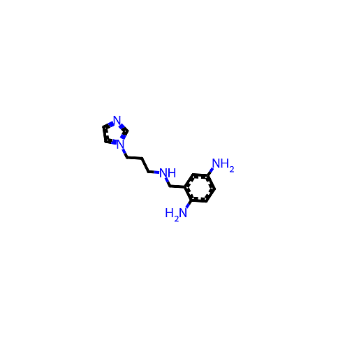 Nc1ccc(N)c(CNCCCn2ccnc2)c1